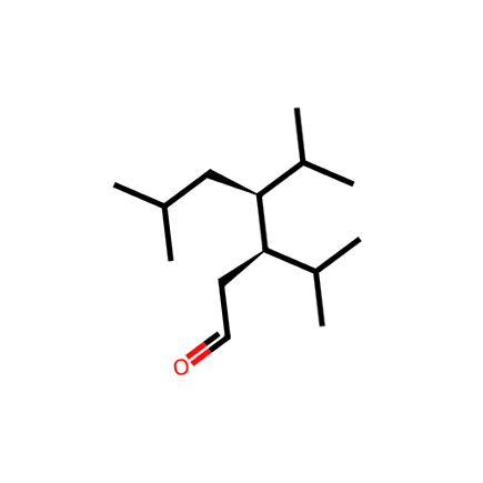 CC(C)C[C@@H](C(C)C)[C@H](CC=O)C(C)C